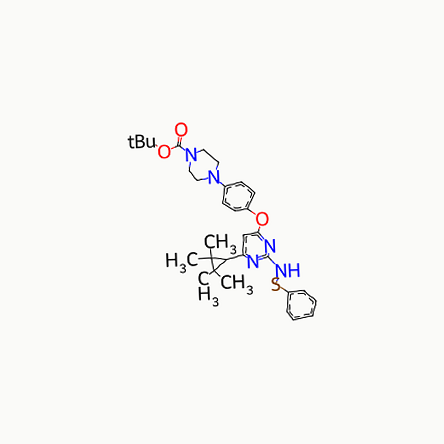 CC(C)(C)OC(=O)N1CCN(c2ccc(Oc3cc(C4C(C)(C)C4(C)C)nc(NSc4ccccc4)n3)cc2)CC1